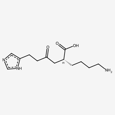 NCCCC[C@H](CC(=O)CCc1cnc[nH]1)C(=O)O